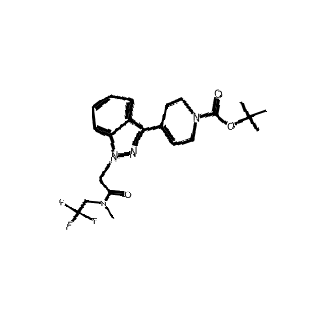 CN(CC(F)(F)F)C(=O)Cn1nc(C2=CCN(C(=O)OC(C)(C)C)CC2)c2ccccc21